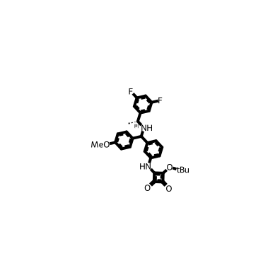 COc1ccc(C(N[C@H](C)c2cc(F)cc(F)c2)c2cccc(Nc3c(OC(C)(C)C)c(=O)c3=O)c2)cc1